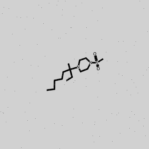 CCCCCC(C)(CC)N1CCN(S(C)(=O)=O)CC1